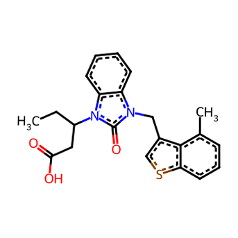 CCC(CC(=O)O)n1c(=O)n(Cc2csc3cccc(C)c23)c2ccccc21